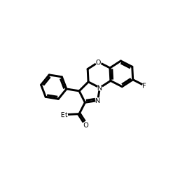 CCC(=O)C1=NN2c3cc(F)ccc3OCC2C1c1ccccc1